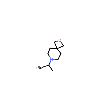 CC(N1CCC2(CC1)COC2)C(C)(C)C